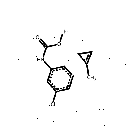 CC(C)OC(=O)Nc1cccc(Cl)c1.CC1=CC1